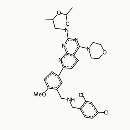 COc1ccc(-c2ccc3c(N4CCOCC4)nc(N4CC(C)OC(C)C4)nc3n2)cc1CNCc1ccc(Cl)cc1Cl